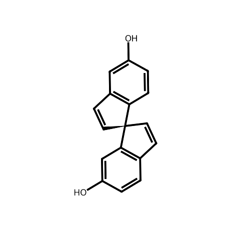 Oc1ccc2c(c1)C=C[C@]21C=Cc2ccc(O)cc21